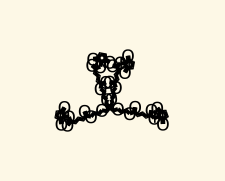 O=C(CCCC(=O)ON1C(=O)CCC1=O)OCCOCC(COCCOC(=O)CCCC(=O)ON1C(=O)CCC1=O)(COCCOC(=O)CCCC(=O)ON1C(=O)CCC1=O)COCCOC(=O)CCCC(=O)ON1C(=O)CCC1=O